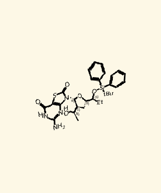 CC[C@H](O[Si](c1ccccc1)(c1ccccc1)C(C)(C)C)[C@@H]1C[C@@H]([C@@H](C)O)[C@H](n2c(=O)sc3c(=O)[nH]c(N)nc32)O1